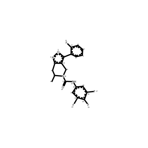 CC1Cc2noc(-c3ccccc3F)c2CN1C(=O)Nc1cc(F)c(F)c(F)c1